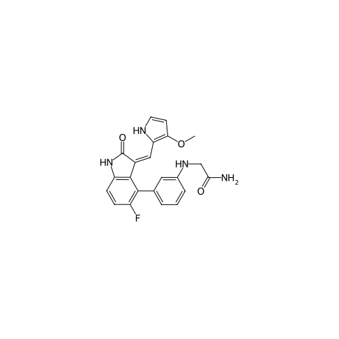 COc1cc[nH]c1/C=C1\C(=O)Nc2ccc(F)c(-c3cccc(NCC(N)=O)c3)c21